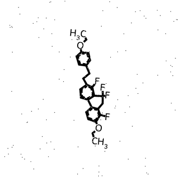 CCOc1ccc(CCc2ccc3c(c2F)C(F)(F)Cc2c-3ccc(OCC)c2F)cc1